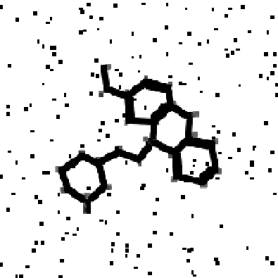 CSc1ccc2c(c1)N(CCC1CCCNC1)c1ccccc1S2